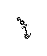 CC(C)S(=O)(=O)NCCCCC(=O)Nc1ccc(-n2cccn2)cc1